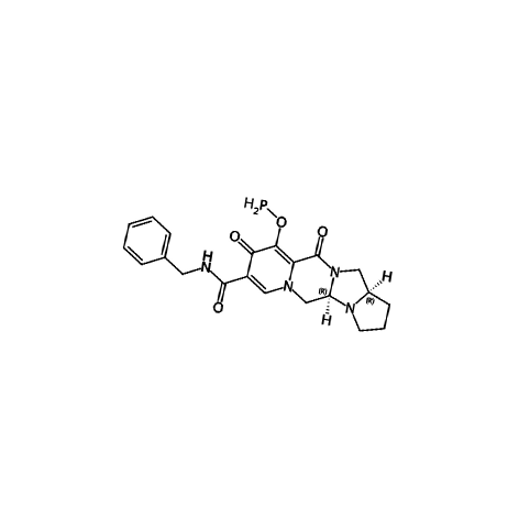 O=C(NCc1ccccc1)c1cn2c(c(OP)c1=O)C(=O)N1C[C@H]3CCCN3[C@H]1C2